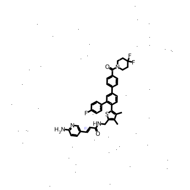 Cc1c(CNC(=O)/C=C/c2ccc(N)nc2)sc(-c2ccc(-c3ccc(C(=O)N4CCC(F)(F)CC4)cc3)cc2-c2ccc(F)cc2)c1C